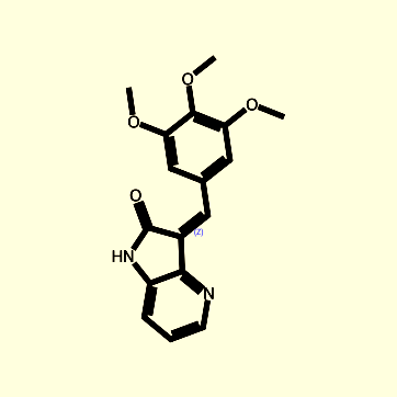 COc1cc(/C=C2\C(=O)Nc3cccnc32)cc(OC)c1OC